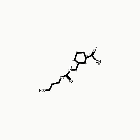 CCCCOC(=O)NCC1CCCC(C(=O)O)C1